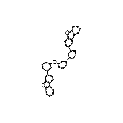 c1cc(Oc2cccc(-c3ccc4c(c3)oc3ccccc34)c2)cc(-c2cccc(-c3ccc4oc5ccccc5c4c3)c2)c1